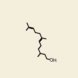 CC(C)=CCCC(C)=CCCC(C)CCO